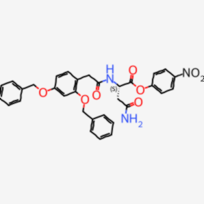 NC(=O)C[C@H](NC(=O)Cc1ccc(OCc2ccccc2)cc1OCc1ccccc1)C(=O)Oc1ccc([N+](=O)[O-])cc1